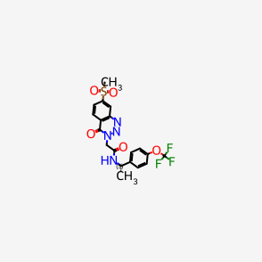 C[C@H](NC(=O)Cn1nnc2cc(S(C)(=O)=O)ccc2c1=O)c1ccc(OC(F)(F)F)cc1